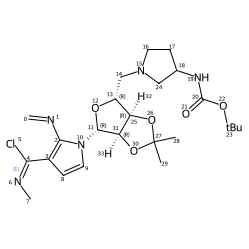 C=Nc1c(/C(Cl)=N\C)ccn1[C@@H]1O[C@H](CN2CCC(NC(=O)OC(C)(C)C)C2)[C@H]2OC(C)(C)O[C@H]21